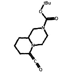 CC(C)(C)OC(=O)N1CCN2C(=C=O)CCCC2C1